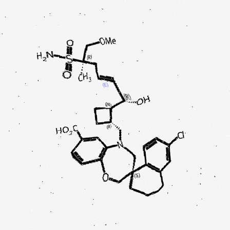 COC[C@@](C)(C/C=C/[C@H](O)[C@@H]1CC[C@H]1CN1C[C@@]2(CCCc3cc(Cl)ccc32)COc2ccc(C(=O)O)cc21)S(N)(=O)=O